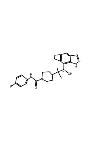 O=C(Nc1ccc(F)cc1)N1CCC(C(F)(F)[C@H](O)c2c3c(cc4cn[nH]c24)CC3)CC1